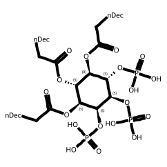 CCCCCCCCCCCC(=O)O[C@@H]1[C@@H](OC(=O)CCCCCCCCCCC)[C@H](OP(=O)(O)O)[C@@H](OP(=O)(O)O)[C@@H](OP(=O)(O)O)[C@H]1OC(=O)CCCCCCCCCCC